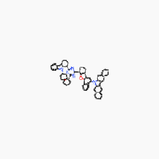 c1ccc(-c2nc(-c3cccc4c3oc3c5ccccc5c(-n5c6cc7ccccc7cc6c6cc7ccccc7cc65)cc43)nc(-c3cccc4c5ccccc5n(-c5ccccc5)c34)n2)cc1